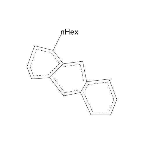 CCCCCCc1cccc2cc3ccc[c]c3cc12